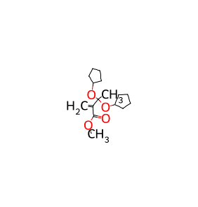 C=C(C(=O)OC)C(C)(OC1CCCC1)OC1CCCC1